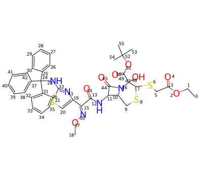 CCOC(=O)CSC1SCC2C(NC(=O)C(=NOC)c3csc(NC(c4ccccc4)(c4ccccc4)c4ccccc4)n3)C(=O)N2C1(O)C(=O)OC(C)(C)C